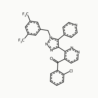 O=C(c1ccccc1Cl)c1ccnnc1-c1nnn(Cc2cc(C(F)(F)F)cc(C(F)(F)F)c2)c1-c1ccncc1